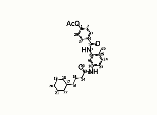 CC(=O)Oc1ccc(C(=O)Nc2cc(NC(=O)CCCC3CCCCC3)ccc2C)cc1